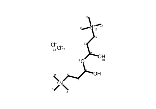 C[N+](C)(C)CCC(O)OC(O)CC[N+](C)(C)C.[Cl-].[Cl-]